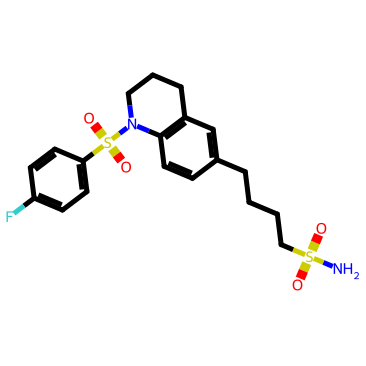 NS(=O)(=O)CCCCc1ccc2c(c1)CCCN2S(=O)(=O)c1ccc(F)cc1